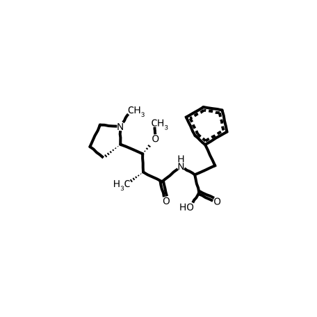 CO[C@H]([C@@H](C)C(=O)NC(Cc1ccccc1)C(=O)O)[C@@H]1CCCN1C